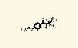 CCOc1ccc(C(=O)NC(C)(C)CN)cc1